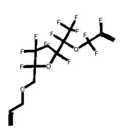 C=CCOCC(F)(OC(F)(F)C(F)(OC(F)(F)C(=C)F)C(F)(F)F)C(F)(F)F